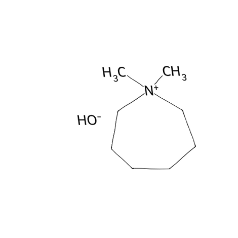 C[N+]1(C)CCCCCC1.[OH-]